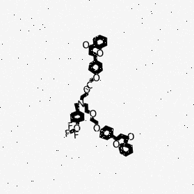 O=c1cc(-c2ccc(OCCOCCN(CCOCCOc3ccc(-c4cc(=O)c5ccccc5o4)cc3)Cc3ccc(OC(F)(F)F)cc3)cc2)oc2ccccc12